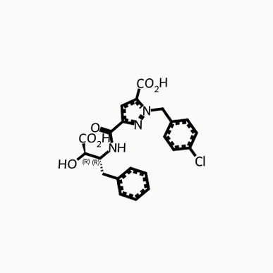 O=C(N[C@H](Cc1ccccc1)[C@@H](O)C(=O)O)c1cc(C(=O)O)n(Cc2ccc(Cl)cc2)n1